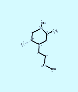 C[C@@H]1CN(C(C)(C)C)[C@@H](C)CN1CCOC(C)(C)C